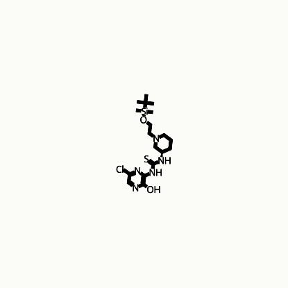 CC(C)(C)[Si](C)(C)OCCN1CCC[C@@H](NC(=S)Nc2nc(Cl)cnc2O)C1